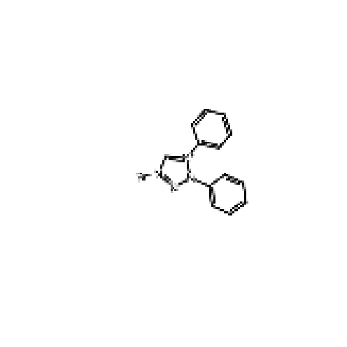 [Br-].c1ccc(-n2nnc[n+]2-c2ccccc2)cc1